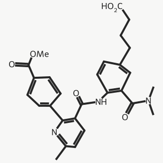 COC(=O)c1ccc(-c2nc(C)ccc2C(=O)Nc2ccc(CCCC(=O)O)cc2C(=O)N(C)C)cc1